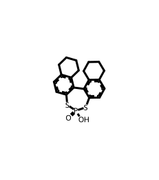 O=P1(O)Sc2ccc3c(c2-c2c(ccc4c2CCCC4)S1)CCCC3